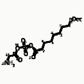 CCCCCCCCCCCCCCCCCC(=O)OS(=O)(=O)OC(=O)CN